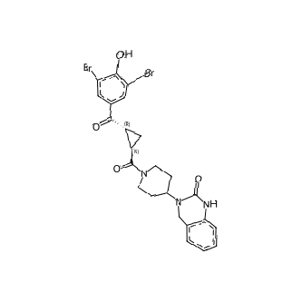 O=C(c1cc(Br)c(O)c(Br)c1)[C@@H]1C[C@H]1C(=O)N1CCC(N2Cc3ccccc3NC2=O)CC1